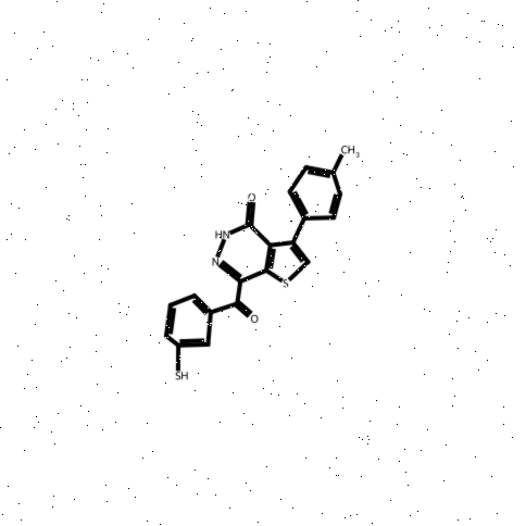 Cc1ccc(-c2csc3c(C(=O)c4cccc(S)c4)n[nH]c(=O)c23)cc1